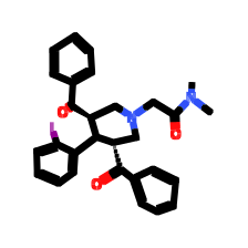 CN(C)C(=O)CN1C[C@H](C(=O)c2ccccc2)C(c2ccccc2I)[C@@H](C(=O)c2ccccc2)C1